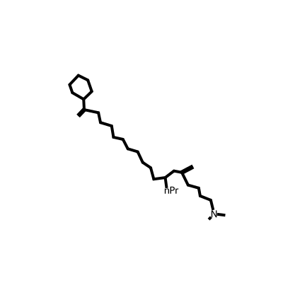 C=C(CCCCN(C)C)CC(CCC)CCCCCCCCCCC(=C)C1CCCCC1